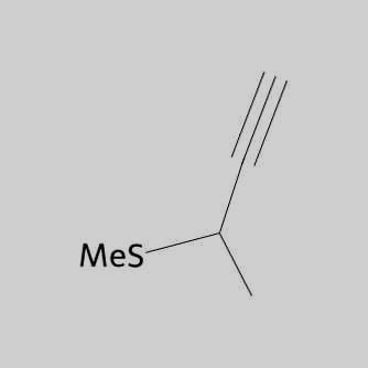 C#CC(C)SC